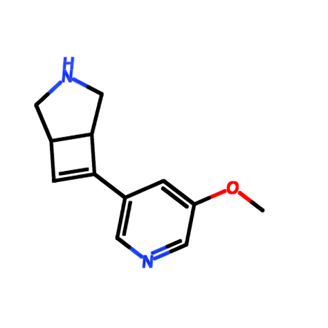 COc1cncc(C2=CC3CNCC23)c1